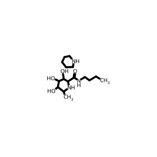 C1CCNCC1.CCCCNC(=O)C1NC(C)C(O)C(O)C1O